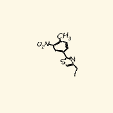 Cc1ccc(-c2nc(CI)cs2)cc1[N+](=O)[O-]